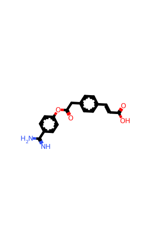 N=C(N)c1ccc(OC(=O)Cc2ccc(C=CC(=O)O)cc2)cc1